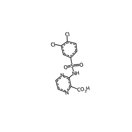 O=C(O)c1nccnc1NS(=O)(=O)c1ccc(Cl)c(Cl)c1